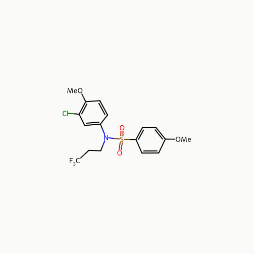 COc1ccc(S(=O)(=O)N(CCC(F)(F)F)c2ccc(OC)c(Cl)c2)cc1